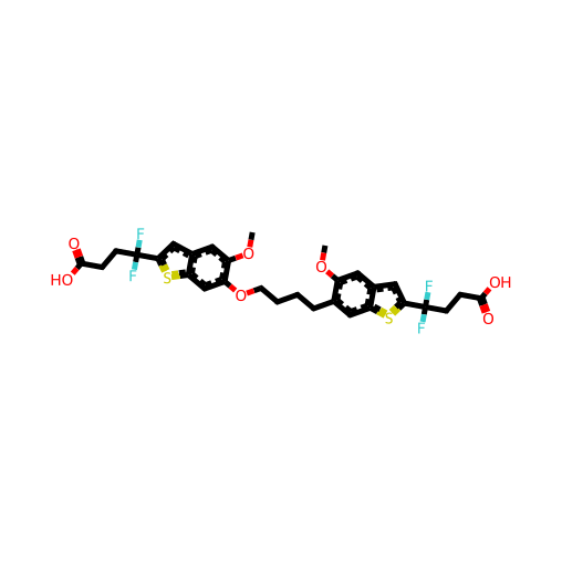 COc1cc2cc(C(F)(F)CCC(=O)O)sc2cc1CCCCOc1cc2sc(C(F)(F)CCC(=O)O)cc2cc1OC